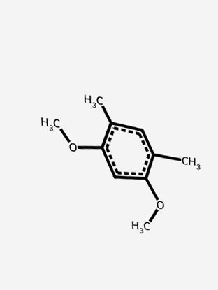 COc1cc(OC)c(C)cc1C